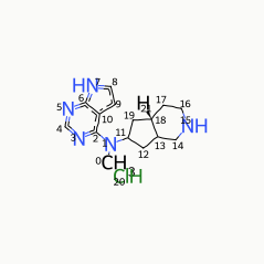 CN(c1ncnc2[nH]ccc12)C1CC2CNCC[C@H]2C1.Cl